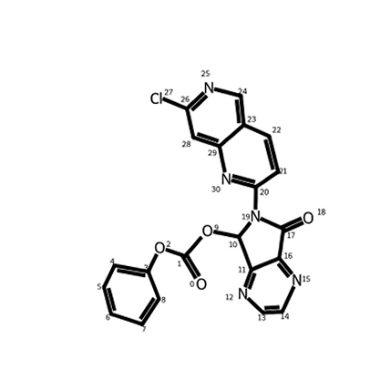 O=C(Oc1ccccc1)OC1c2nccnc2C(=O)N1c1ccc2cnc(Cl)cc2n1